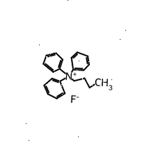 CCCC[N+](c1ccccc1)(c1ccccc1)c1ccccc1.[F-]